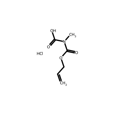 C=CCOC(=O)N(C)C(=O)O.Cl